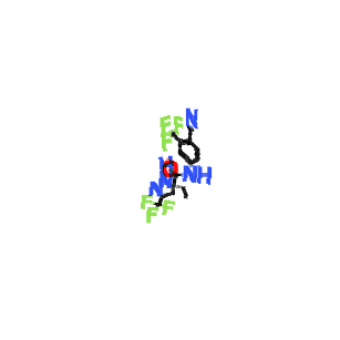 CC[C@]1(C(=O)Nc2ccc(C#N)c(C(F)(F)F)c2)CC(C(F)(F)F)=NN1